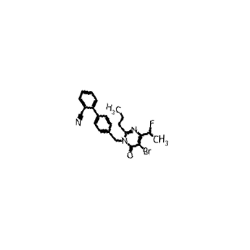 CCCc1nc(C(C)F)c(Br)c(=O)n1Cc1ccc(-c2ccccc2C#N)cc1